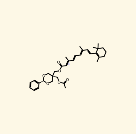 CC(=O)OC[C@]1(COC(=O)/C=C(\C)C=CC=C(C)C=CC2=C(C)CCCC2(C)C)CO[C@H](c2ccccc2)OC1